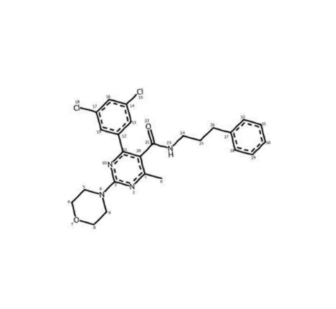 Cc1nc(N2CCOCC2)nc(-c2cc(Cl)cc(Cl)c2)c1C(=O)NCCCc1ccccc1